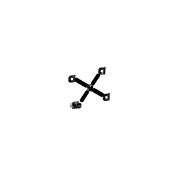 Cl[Si](Cl)(Cl)[Sb]